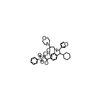 CN(C(=O)c1ccc2c(c1)N(CC(=O)N1CCOCC1)C(c1ccoc1)C2C1CCCCC1)S(=O)(=O)c1ccccc1